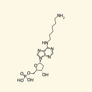 NCCCCCCNc1ncnc2c1ncn2[C@H]1C[C@H](O)[C@@H](COP(=O)(O)O)O1